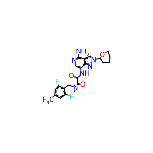 CN(Cc1c(F)cc(C(F)(F)F)cc1F)C(=O)C(=O)Nc1cnc(N)c2cn(C3CCCCO3)nc12